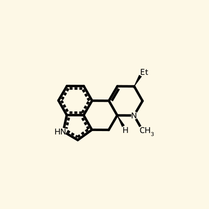 CC[C@@H]1C=C2c3cccc4[nH]cc(c34)C[C@H]2N(C)C1